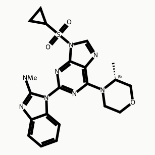 CNc1nc2ccccc2n1-c1nc(N2CCOC[C@H]2C)c2ncn(S(=O)(=O)C3CC3)c2n1